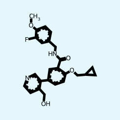 COc1ccc(CNC(=O)c2cc(-c3cnccc3CO)ccc2OCC2CC2)cc1F